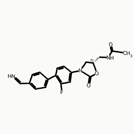 CC(=O)NC[C@H]1CN(c2ccc(-c3ccc(C=N)cc3)c(F)c2)C(=O)O1